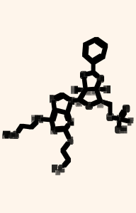 CSCCNc1nc(SCCC(F)(F)F)nc2c1ncn2[C@@H]1O[C@H](COP(=O)(O)F)[C@H]2OC(c3ccccc3)O[C@H]21